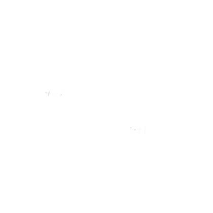 O=C(O)C1CCc2ccc(S(=O)(=O)O)cc2C1